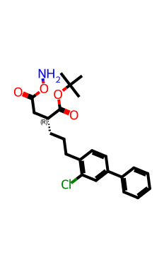 CC(C)(C)OC(=O)[C@H](CCCc1ccc(-c2ccccc2)cc1Cl)CC(=O)ON